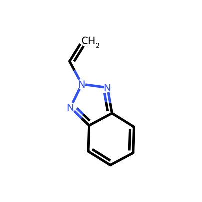 C=Cn1nc2ccccc2n1